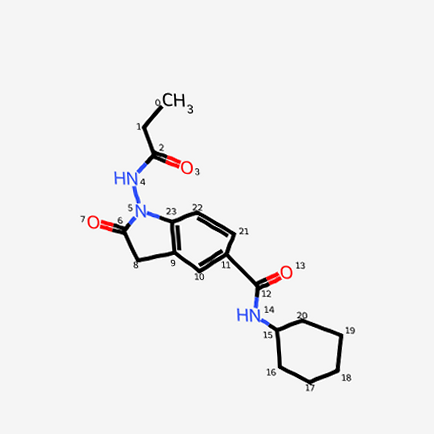 CCC(=O)NN1C(=O)Cc2cc(C(=O)NC3CCCCC3)ccc21